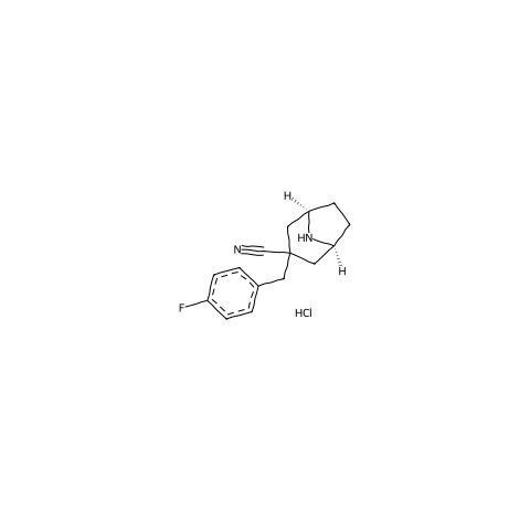 Cl.N#CC1(Cc2ccc(F)cc2)C[C@H]2CC[C@@H](C1)N2